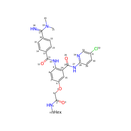 CCCCCCNC(=O)COc1ccc(NC(=O)c2ccc(C(=N)N(C)C)cc2)c(C(=O)Nc2ccc(Cl)cn2)c1